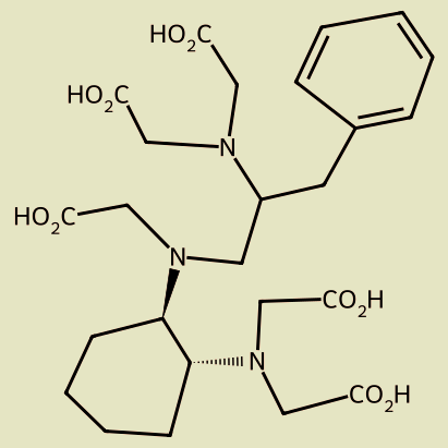 O=C(O)CN(CC(=O)O)C(Cc1ccccc1)CN(CC(=O)O)[C@@H]1CCCC[C@H]1N(CC(=O)O)CC(=O)O